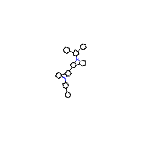 C1=CC2c3cc(-c4ccc5c(c4)c4ccccc4n5-c4ccc(-c5ccccc5)cc4)ccc3N(c3cc(-c4ccccc4)cc(-c4ccccc4)c3)C2C=C1